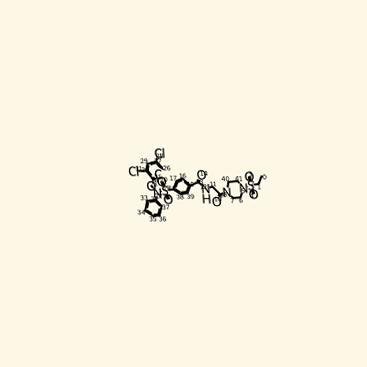 CCS(=O)(=O)N1CCN(C(=O)CNC(=O)c2ccc(S(=O)(=O)N(Oc3ccc(Cl)cc3Cl)c3ccccc3)cc2)CC1